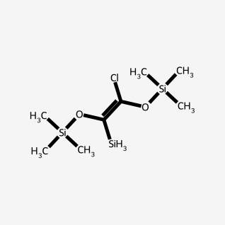 C[Si](C)(C)OC([SiH3])=C(Cl)O[Si](C)(C)C